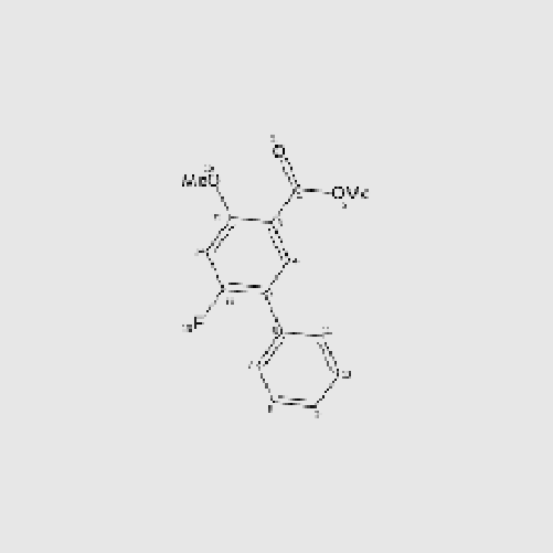 COC(=O)c1cc(-c2ccccc2)c(F)cc1OC